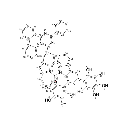 Oc1c(O)c(O)c(-c2cc(-c3c(O)c(O)c(O)c(O)c3O)c3c(c2)c2ccccc2n3C2C=CC=Cc3sc4cc(-c5nc(-c6ccccc6)nc(-c6ccccc6-c6ccccc6)n5)ccc4c32)c(O)c1O